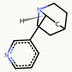 c1cncc([C@@H]2CC3CCN2CC3)c1